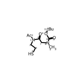 CC(=O)N(CCS)C(=O)CN(C)C(=O)OC(C)(C)C